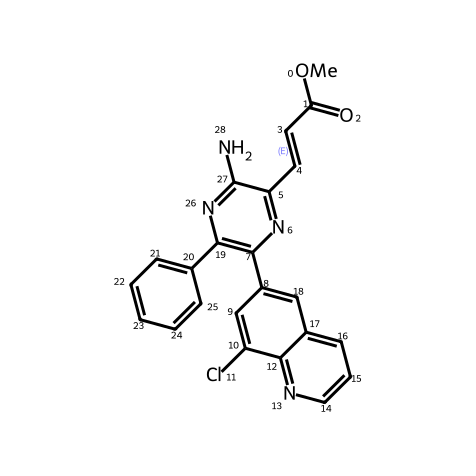 COC(=O)/C=C/c1nc(-c2cc(Cl)c3ncccc3c2)c(-c2ccccc2)nc1N